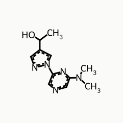 CC(O)c1cnn(-c2cncc(N(C)C)n2)c1